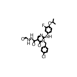 CC(C)Oc1ccc(Nc2ncc(C(=O)NNC=O)c(=O)n2Cc2ccc(Cl)cc2)cc1F